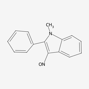 Cn1c(-c2ccccc2)c(N=O)c2ccccc21